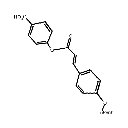 CCCCCOc1ccc(C=CC(=O)Oc2ccc(C(=O)O)cc2)cc1